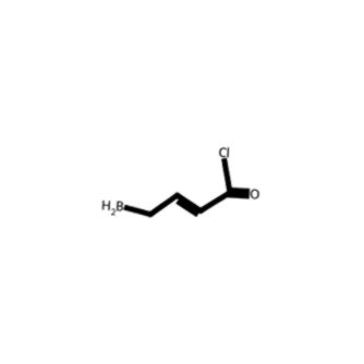 BC/C=C/C(=O)Cl